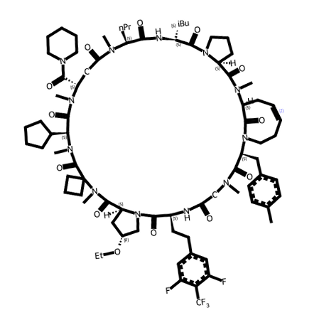 CCC[C@H]1C(=O)N[C@@H]([C@@H](C)CC)C(=O)N2CCC[C@H]2C(=O)N(C)[C@H]2C/C=C\CCN(C2=O)[C@@H](Cc2ccc(C)cc2)C(=O)N(C)CC(=O)N[C@@H](CCc2cc(F)c(C(F)(F)F)c(F)c2)C(=O)N2C[C@H](OCC)C[C@H]2C(=O)N(C)C2(CCC2)C(=O)N(C)[C@@H](C2CCCC2)C(=O)N(C)[C@H](C(=O)N2CCCCC2)CC(=O)N1C